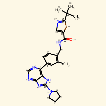 Cc1cc(-c2ncnc3nc(N4CCCC4)[nH]c23)ccc1CNC(=O)c1cnc(C(C)(C)C)s1